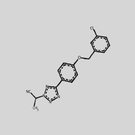 CC(C#N)n1nnc(-c2ccc(OCc3cccc(Cl)c3)cc2)n1